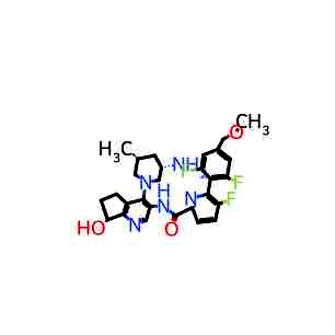 COCc1cc(F)c(-c2nc(C(=O)Nc3cnc4c(c3N3C[C@H](C)C[C@H](N)C3)CC[C@H]4O)ccc2F)c(F)c1